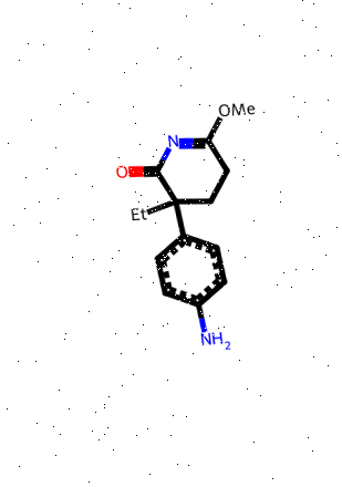 CCC1(c2ccc(N)cc2)CCC(OC)=NC1=O